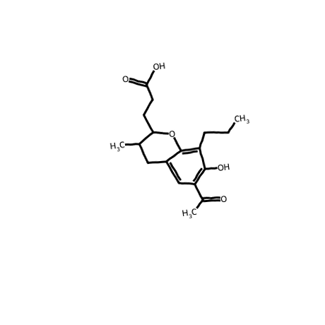 CCCc1c(O)c(C(C)=O)cc2c1OC(CCC(=O)O)C(C)C2